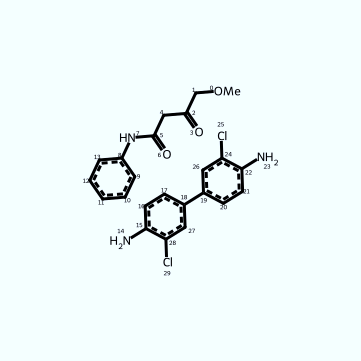 COCC(=O)CC(=O)Nc1ccccc1.Nc1ccc(-c2ccc(N)c(Cl)c2)cc1Cl